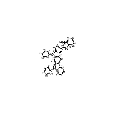 c1ccc(-n2c3ccccc3c3cc4c5cc(-c6nc7ccccc7[nH]6)ccc5n(-c5ccccc5)c4cc32)cc1